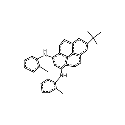 Cc1ccccc1Nc1cc(Nc2ccccc2C)c2ccc3cc(C(C)(C)C)cc4ccc1c2c43